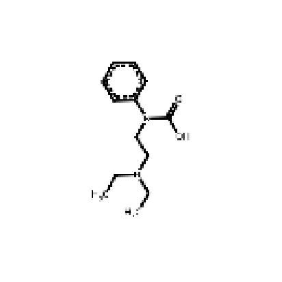 CCN(CC)CCN(C(=O)O)c1ccccc1